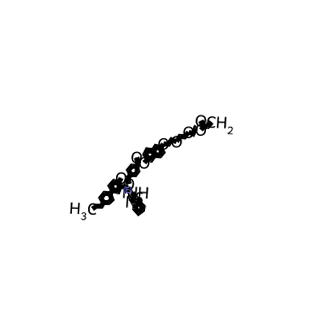 C=CC(=O)OCCOCCOCCOc1ccc2cc(OC(=O)C3CCC(C(=O)Oc4ccc(C5CCC(CCC)CC5)cc4/C=N/Nc4nc5ccccc5s4)CC3)ccc2c1